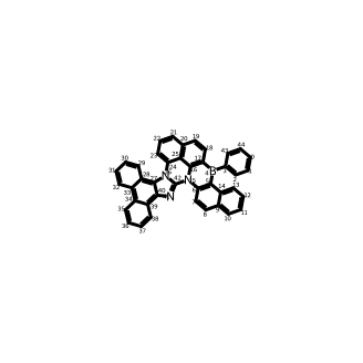 c1ccc(B2c3c(ccc4ccccc34)-n3c4c2ccc2cccc(c24)n2c4c5ccccc5c5ccccc5c4nc32)cc1